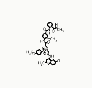 CNC(=O)c1ccccc1NC(=O)c1ccc(NC(=O)CCN(CCNc2cc(C)nc3ccc(Cl)cc23)S(=O)(=O)c2ccc(OC)cc2)c(OC)c1